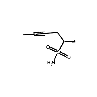 CC#CC[C@@H](C)S(N)(=O)=O